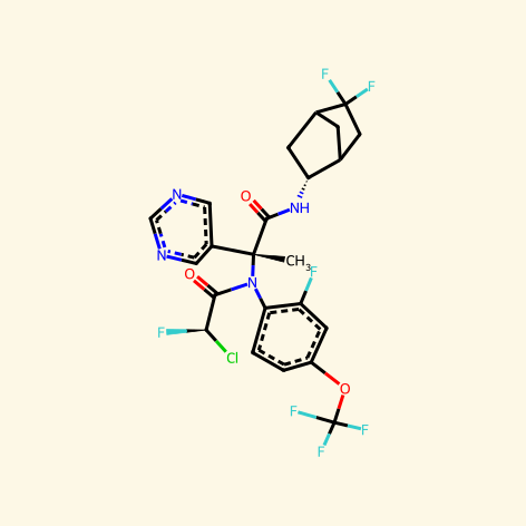 C[C@](C(=O)N[C@@H]1CC2CC1CC2(F)F)(c1cncnc1)N(C(=O)[C@H](F)Cl)c1ccc(OC(F)(F)F)cc1F